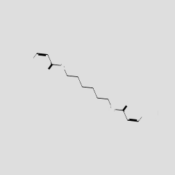 O=C(O)/C=C\C(=O)NCCCCCCNC(=O)/C=C\C(=O)O